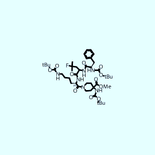 COC(=O)C1(NC(=O)OC(C)(C)C)CCN(C(=O)[C@@H](CCCCNC(=O)OC(C)(C)C)NC(=O)C(CC(C)(C)F)NC(=O)[C@@H](Cc2ccccc2)NC(=O)OC(C)(C)C)CC1